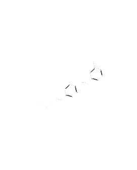 Cc1cccc(COc2ccc(CCC(=O)O)cc2)c1